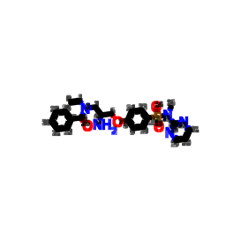 C=CN(CC(N)COc1ccc(S(=O)(=O)N(C)c2ncccn2)cc1)C(=O)c1ccccc1